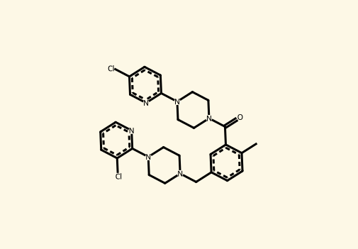 Cc1ccc(CN2CCN(c3ncccc3Cl)CC2)cc1C(=O)N1CCN(c2ccc(Cl)cn2)CC1